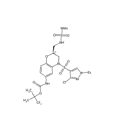 CCn1cc(S(=O)(=O)N2C[C@H](CNS(=O)(=O)NC)Oc3ccc(NC(=O)OC(C)(C)C(F)(F)F)cc32)c(Cl)n1